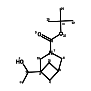 CC(O)C12CC(CN(C(=O)OC(C)(C)C)C1)C2